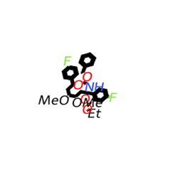 CCOCOC(CC(OC)C(CCc1ccc(F)cc1)OC)(NC(=O)OCc1ccccc1)c1ccc(F)cc1